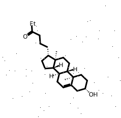 CCC(=O)CCC[C@H]1CC[C@H]2[C@@H]3CC=C4C[C@@H](O)CC[C@]4(C)[C@H]3CC[C@]12C